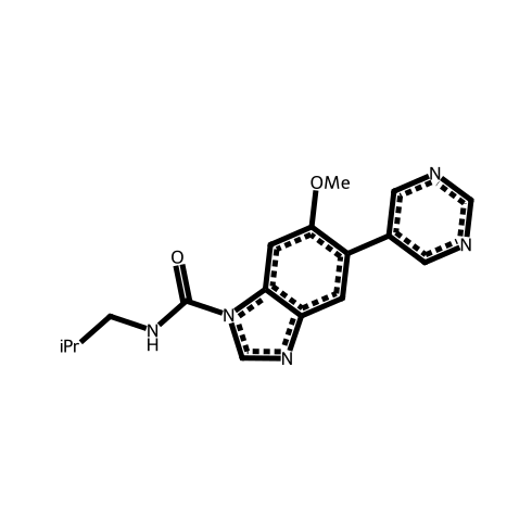 COc1cc2c(cc1-c1cncnc1)ncn2C(=O)NCC(C)C